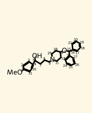 COc1ccc(C(O)CCCN2CCC(OC(c3ccccc3)c3ccccc3)CC2)cc1